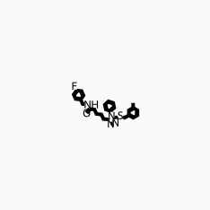 Cc1cccc(CSc2nnc(CCCCC(=O)NCc3ccc(F)cc3)n2-c2ccccc2)c1